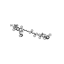 C[C@@H]1N(C(=O)OCOC(=O)CCC(=O)OCCCCCOC(=O)c2cc(S(N)(=O)=O)c(Cl)cc2NCc2ccco2)C(C)(C)CO[C@@]1(O)c1cccc(Cl)c1